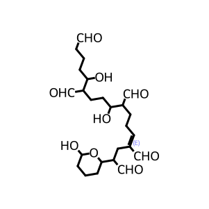 O=CCCCC(O)C(C=O)CCC(O)C(C=O)CC/C=C(/C=O)CC(C=O)C1CCCC(O)O1